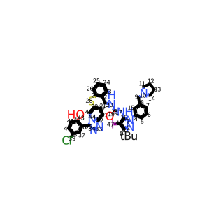 CC(C)(C)c1nn(-c2cccc(CN3CCCC3)c2)c(NC(=O)NCc2ccccc2Sc2ccc3nnc(-c4cc(Cl)ccc4O)n3c2)c1I